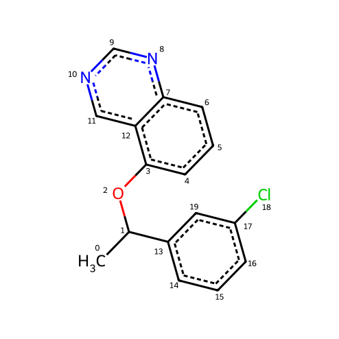 CC(Oc1cccc2ncncc12)c1cccc(Cl)c1